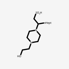 CCCCCCCC(CS(=O)(=O)O)N1CCN(CCO)CC1